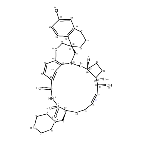 O=C1NS(=O)(=O)[C@H](CN2CCOCC2)CC/C=C\[C@H](O)[C@@H]2CC[C@H]2CN2C[C@@]3(CCCc4cc(Cl)ccc43)COc3ccc1cc32